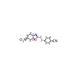 N#Cc1ccc(CCc2nc3ccc([N+](=O)[O-])cc3o2)cc1